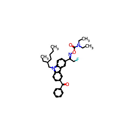 CCCCC(CC)Cn1c2ccc(C(=O)c3ccccc3)cc2c2cc(/C(CF)=N/OC(=O)N(CC)CC)ccc21